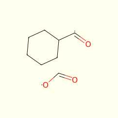 O=[C]C1CCCCC1.[O]C=O